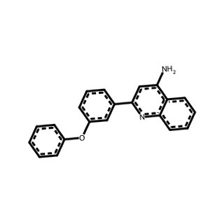 Nc1cc(-c2cccc(Oc3ccccc3)c2)nc2ccccc12